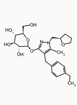 CCc1ccc(Cc2c(O[C@@H]3O[C@H](CO)[C@@H](O)[C@H](O)[C@H]3O)nn(C[C@H]3CCCO3)c2C)cc1